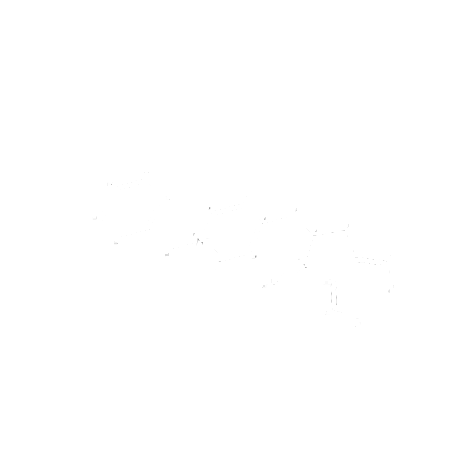 C/C=C1/CC(Cc2cc[n+](Cc3ccccc3)cc2)C(=O)/C1=C/C